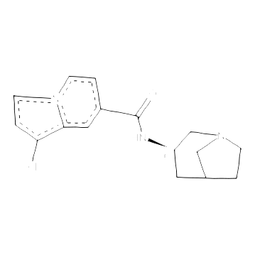 O=C(N[C@@H]1CC2CCN(C2)C1)c1ccn2ccc(Cl)c2c1